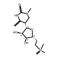 C=C1NC(=O)N(C)CC1[C@@H]1O[C@H](CCP(=C)(C)C)[C@@H](O)[C@H]1O